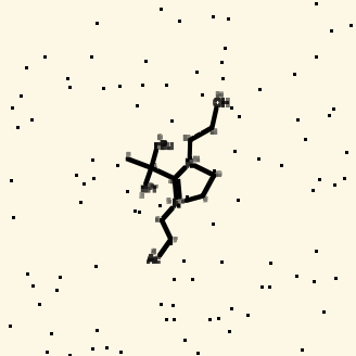 CCCCC(C)(CCC)C1=[N+](CCC(C)=O)CCN1CCO